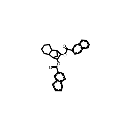 O=C(OC1C2CC(C3CCCCC32)C1OC(=O)c1ccc2ccccc2c1)c1ccc2ccccc2c1